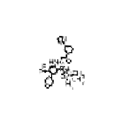 CC(C)(C)OC(=O)Nc1cc(N2CCOCC2)c(C(F)(F)F)cc1NC(=O)CC(=O)c1cccc(-n2cccn2)c1